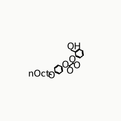 CCCCCCCCOc1ccc(OC(=O)C(=O)Oc2ccccc2CO)cc1